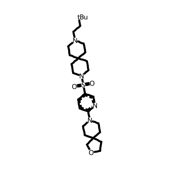 CC(C)(C)CCN1CCC2(CC1)CCN(S(=O)(=O)c1ccc(N3CCC4(CCOC4)CC3)nc1)CC2